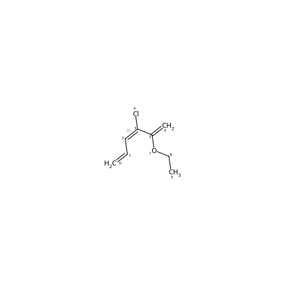 C=C/C=C(/Cl)C(=C)OCC